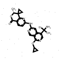 CCC(C)(N)c1cnc(OC2CC2)c2cnc(Nc3ccc4c(n3)C3(CC3)[C@@H](C)OC4=O)cc12